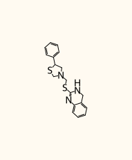 c1ccc(C2CN(CSC3=Nc4ccccc4CN3)CS2)cc1